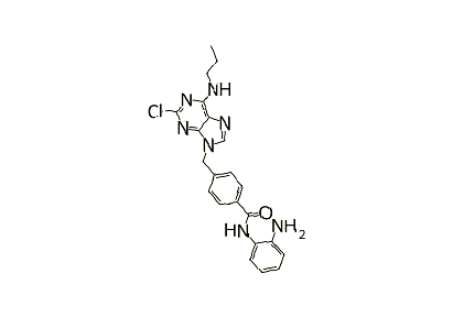 CCCNc1nc(Cl)nc2c1ncn2Cc1ccc(C(=O)Nc2ccccc2N)cc1